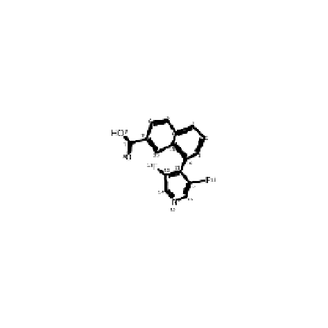 O=C(O)c1ccc2cccc(-c3c(F)cncc3F)c2c1